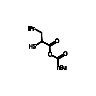 CCCCC(=O)OC(=O)C(S)CC(C)C